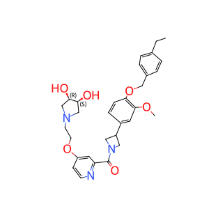 CCc1ccc(COc2ccc(C3CN(C(=O)c4cc(OCCN5C[C@@H](O)[C@@H](O)C5)ccn4)C3)cc2OC)cc1